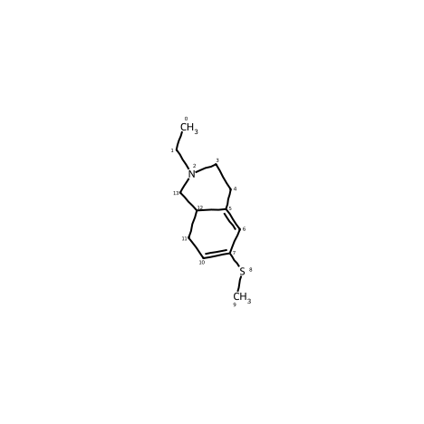 CCN1CCC2=CC(SC)=CCC2C1